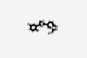 CC(C)c1nnc2ccc(-c3nc(-c4cc(F)ccc4F)co3)cn12